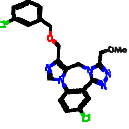 COCc1nnc2n1Cc1c(COCc3cccc(Cl)c3)ncn1-c1ccc(Cl)cc1-2